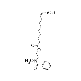 CCCCCCCC/C=C\CCCCCCCC(=O)OCCN(C)C(=O)c1ccccc1